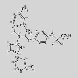 CC(C)(Oc1ccc(CCN(Cc2ccc(C(F)(F)F)cc2C(F)(F)F)c2nc(-c3cccc(Cl)c3)cs2)cc1)C(=O)O